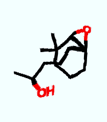 CC(O)CCCC12CCCC(C)(C)C1O2